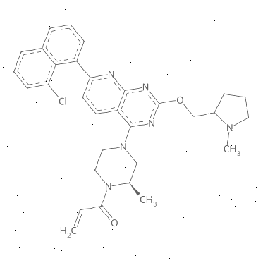 C=CC(=O)N1CCN(c2nc(OCC3CCCN3C)nc3nc(-c4cccc5cccc(Cl)c45)ccc23)C[C@H]1C